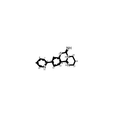 N=C1Sc2cc(-c3ccccn3)ccc2C2=NCCCN12